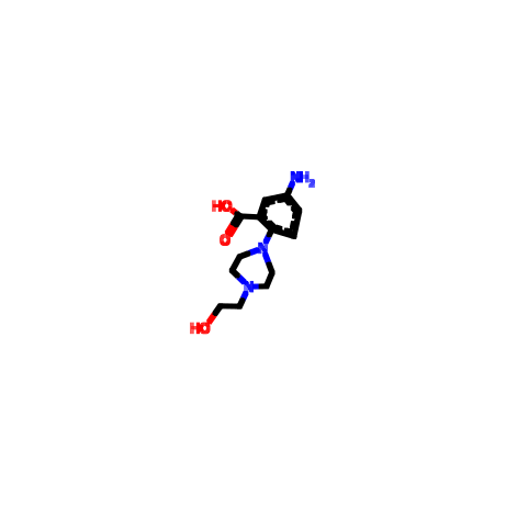 Nc1ccc(N2CCN(CCO)CC2)c(C(=O)O)c1